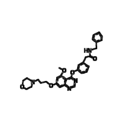 COc1cc(OCCCN2CCOCC2)cc2ncnc(Oc3cccc(CC(=O)NCc4ccccc4)c3)c12